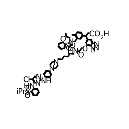 Cc1ccc(C(CC(=O)O)c2cc(OCC(=O)NCCCCCCN3CCN(c4ccc(Nc5ncc(Cl)c(Nc6ccccc6S(=O)(=O)C(C)C)n5)cc4)CC3)c3c(c2)nnn3C)cc1CN1CC(C)Oc2ccccc2S1(=O)=O